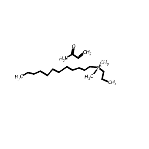 C=CC(N)=O.CCCCCCCCCCCC[N+](C)(C)CCC